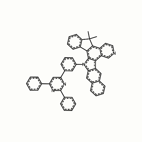 CC1(C)c2ccccc2-c2c1c1ccncc1c1c3cc4ccccc4cc3n(-c3cccc(-c4cc(-c5ccccc5)nc(-c5ccccc5)n4)c3)c21